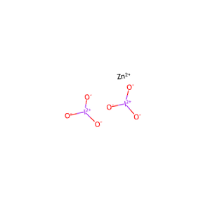 [O-][I+2]([O-])[O-].[O-][I+2]([O-])[O-].[Zn+2]